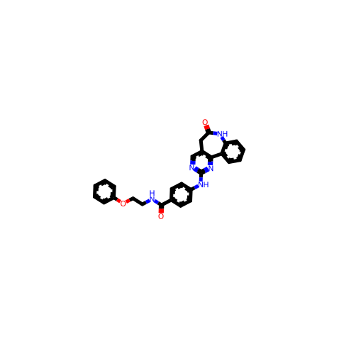 O=C1Cc2cnc(Nc3ccc(C(=O)NCCOc4ccccc4)cc3)nc2-c2ccccc2N1